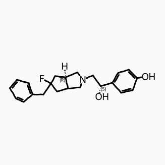 Oc1ccc([C@H](O)CN2CC3CC(F)(Cc4ccccc4)C[C@H]3C2)cc1